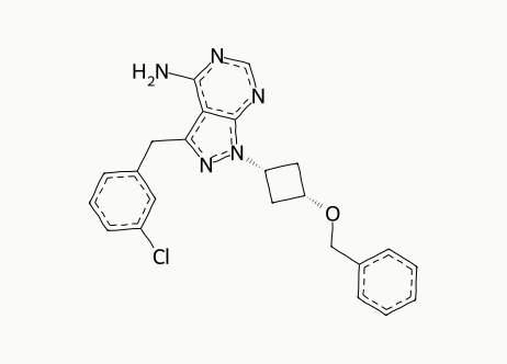 Nc1ncnc2c1c(Cc1cccc(Cl)c1)nn2[C@H]1C[C@@H](OCc2ccccc2)C1